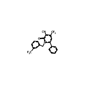 [C-]#[N+]c1c(C(F)(F)F)cc(-c2ccccc2)n(Cc2cccc(C(F)(F)F)c2)c1=O